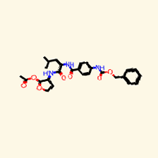 CC(=O)OC1OCCC1NC(=O)C(CC(C)C)NC(=O)c1ccc(NC(=O)OCc2ccccc2)cc1